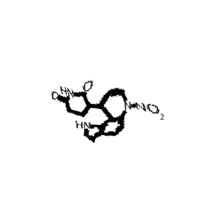 O=C1CCC(C2C=CN([N+](=O)[O-])c3ccc4cc[nH]c4c32)C(=O)N1